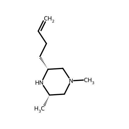 C=CCC[C@@H]1CN(C)C[C@H](C)N1